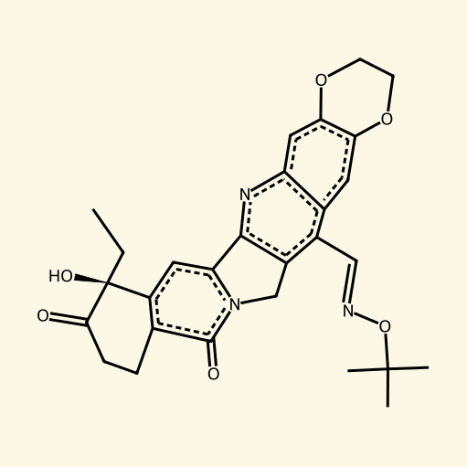 CC[C@@]1(O)C(=O)CCc2c1cc1n(c2=O)Cc2c-1nc1cc3c(cc1c2/C=N/OC(C)(C)C)OCCO3